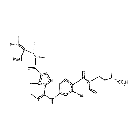 C=CN(CC[C@H](C)C(=O)O)C(=C)c1ccc(N/C(=N/C)c2ncc(C(=C)C(C)[C@@H](C)/C(OC)=C(\C)F)n2C)cc1CC